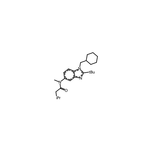 CC(C)CC(=O)N(C)c1ccc2c(c1)nc(C(C)(C)C)n2CC1CCCCC1